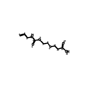 C=CCNC(=O)OCCOCCC(=O)O